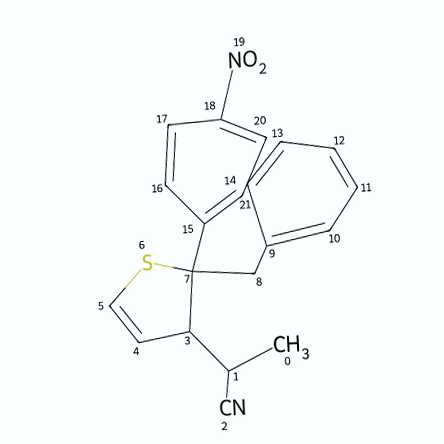 CC(C#N)C1C=CSC1(Cc1ccccc1)c1ccc([N+](=O)[O-])cc1